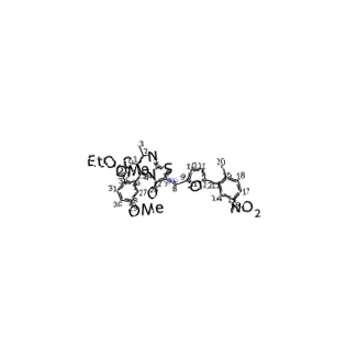 CCOC(=O)C1=C(C)N=c2s/c(=C\c3ccc(-c4cc([N+](=O)[O-])ccc4C)o3)c(=O)n2C1c1cc(OC)ccc1OC